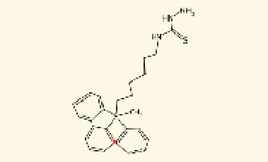 CP(CCCCCCNC(=S)NN)(c1ccccc1)(c1ccccc1)c1ccccc1